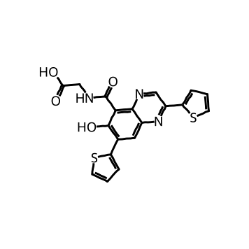 O=C(O)CNC(=O)c1c(O)c(-c2cccs2)cc2nc(-c3cccs3)cnc12